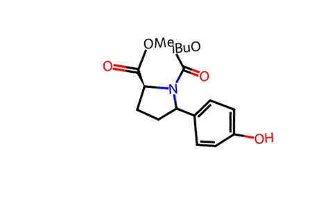 COC(=O)[C@@H]1CCC(c2ccc(O)cc2)N1C(=O)OCC(C)C